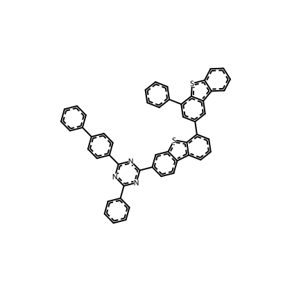 c1ccc(-c2ccc(-c3nc(-c4ccccc4)nc(-c4ccc5c(c4)sc4c(-c6cc(-c7ccccc7)c7sc8ccccc8c7c6)cccc45)n3)cc2)cc1